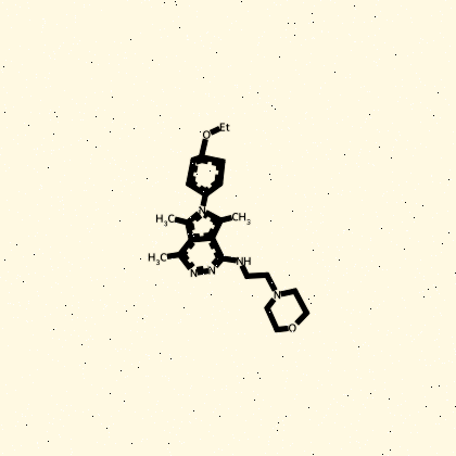 CCOc1ccc(-n2c(C)c3c(C)nnc(NCCN4CCOCC4)c3c2C)cc1